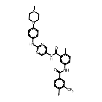 Cc1ccc(NC(=O)c2ccc(F)c(C(F)(F)F)c2)cc1C(=O)Nc1cnc(Nc2ccc(N3CCN(C)CC3)cc2)nc1